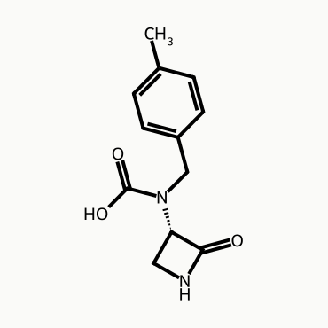 Cc1ccc(CN(C(=O)O)[C@H]2CNC2=O)cc1